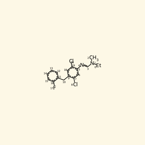 CCN(C)C=Nc1cc(Cl)c(Cc2ccccc2F)cc1Cl